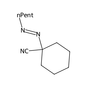 CCCCC/N=N/C1(C#N)CCCCC1